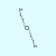 SCCSCCSCCCc1ccc(CCCSCCSCCS)cc1